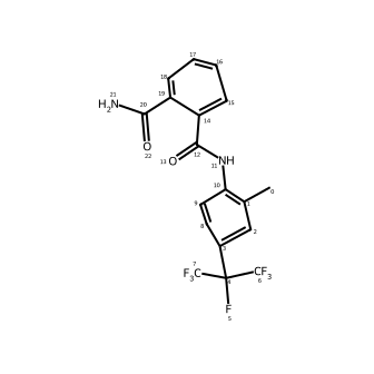 Cc1cc(C(F)(C(F)(F)F)C(F)(F)F)ccc1NC(=O)c1ccccc1C(N)=O